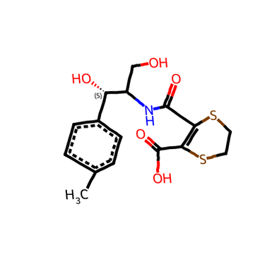 Cc1ccc([C@H](O)C(CO)NC(=O)C2=C(C(=O)O)SCCS2)cc1